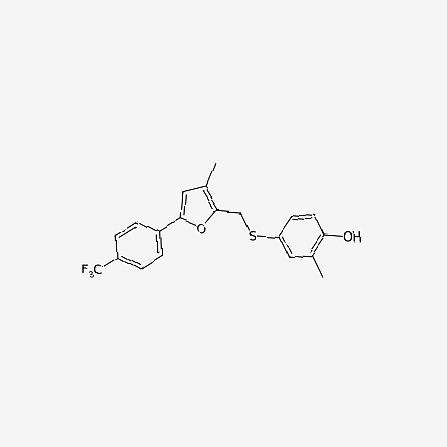 Cc1cc(SCc2oc(-c3ccc(C(F)(F)F)cc3)cc2C)ccc1O